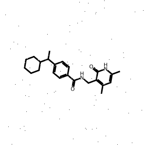 Cc1cc(C)c(CNC(=O)c2ccc(C(C)C3CCCCC3)cc2)c(=O)[nH]1